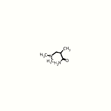 C[C](CN(C)C)C(N)=O